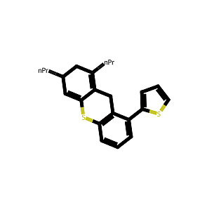 CCCC1=C2Cc3c(cccc3-c3cccs3)SC2=CC(CCC)C1